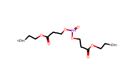 CCCCCCCCCCCCOC(=O)CCO[PH](=O)OCCC(=O)OCCCCCCCCCCCC